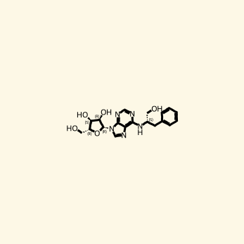 OC[C@H](Cc1ccccc1)Nc1ncnc2c1ncn2[C@@H]1O[C@H](CO)[C@@H](O)[C@H]1O